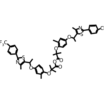 Cc1cc(OC(C)c2sc(-c3ccc(Cl)cc3)nc2C)ccc1OC(C)(C)C(=O)OC(=O)C(C)(C)Oc1ccc(OC(C)c2sc(-c3ccc(C(F)(F)F)cc3)nc2C)cc1C